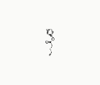 C=CCCC(=O)On1ccnc1